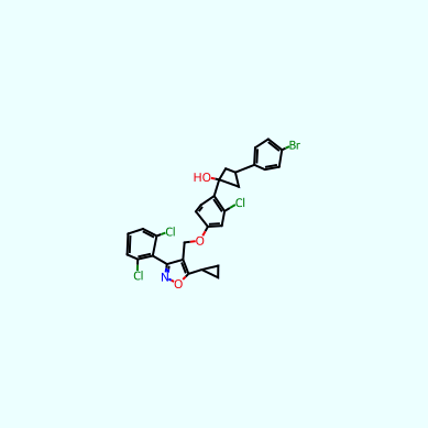 OC1(c2ccc(OCc3c(-c4c(Cl)cccc4Cl)noc3C3CC3)cc2Cl)CC(c2ccc(Br)cc2)C1